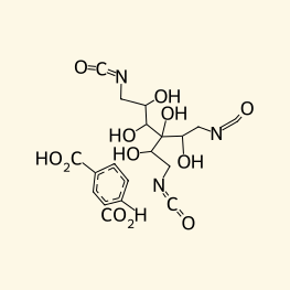 O=C(O)c1ccc(C(=O)O)cc1.O=C=NCC(O)C(O)C(O)(C(O)CN=C=O)C(O)CN=C=O